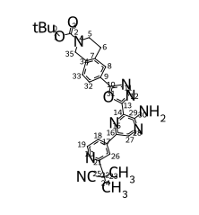 CC(C)(C)OC(=O)N1CCc2cc(-c3nnc(-c4nc(-c5ccnc(C(C)(C)C#N)c5)cnc4N)o3)ccc2C1